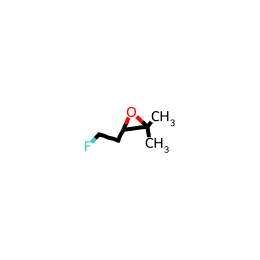 CC1(C)OC1CCF